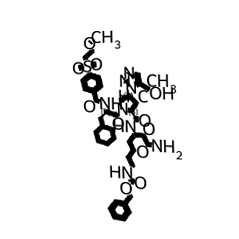 COCCS(=O)(=O)c1ccc(C(=O)N[C@H](CC2CCCCC2)C(=O)N2C[C@@H](n3nncc3C(C)(C)O)C[C@H]2C(=O)NC(CCCCNC(=O)OCc2ccccc2)C(=O)C(N)=O)cc1